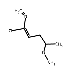 C=N/C(Cl)=C\CC(C)OC